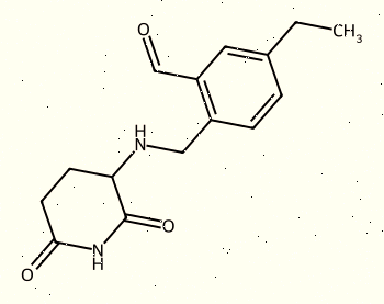 CCc1ccc(CNC2CCC(=O)NC2=O)c(C=O)c1